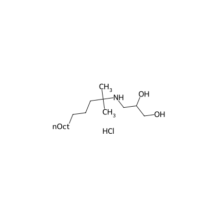 CCCCCCCCCCCC(C)(C)NCC(O)CO.Cl